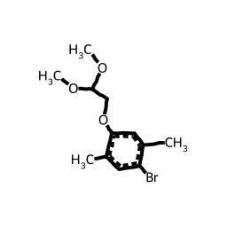 COC(COc1cc(C)c(Br)cc1C)OC